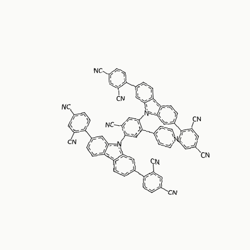 N#Cc1ccc(-c2ccc3c4ccc(-c5ccc(C#N)cc5C#N)cc4n(-c4cc(-c5ccncc5)c(-n5c6cc(-c7ccc(C#N)cc7C#N)ccc6c6ccc(-c7ccc(C#N)cc7C#N)cc65)cc4C#N)c3c2)c(C#N)c1